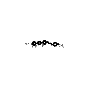 C=CC1CCC(CCCCc2ccc(-c3ccc(-c4ccc(OC)c(F)c4F)cc3)c(F)c2)CC1